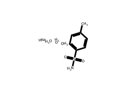 Cc1ccc(S(N)(=O)=O)cc1.O.O.O.[NaH]